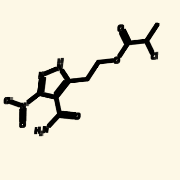 CC(Cl)C(=O)OCCc1[nH]nc([N+](=O)[O-])c1C(N)=O